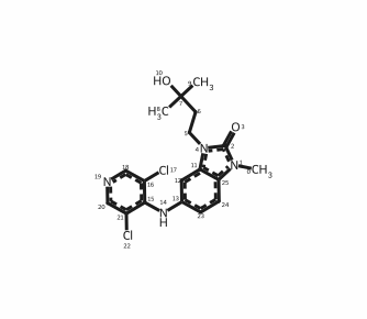 Cn1c(=O)n(CCC(C)(C)O)c2cc(Nc3c(Cl)cncc3Cl)ccc21